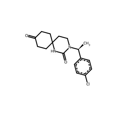 C[C@@H](c1ccc(Cl)cc1)N1CCC2(CCC(=O)CC2)NC1=O